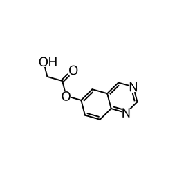 O=C(CO)Oc1ccc2ncncc2c1